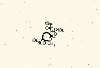 CC(C)CO[C@H]1[C@H](C)OC(=O)[C@@H](N(C(=O)OC(C)(C)C)C(=O)OC(C)(C)C)CCC[C@@H]1OCC(C)C